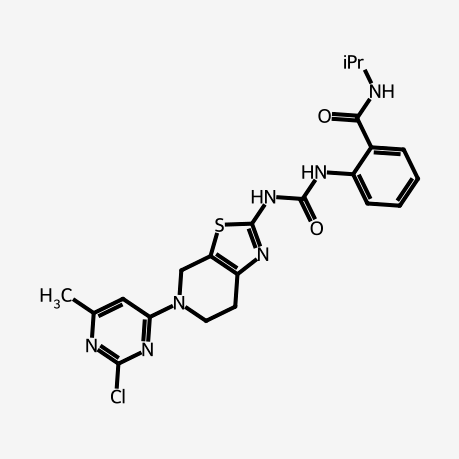 Cc1cc(N2CCc3nc(NC(=O)Nc4ccccc4C(=O)NC(C)C)sc3C2)nc(Cl)n1